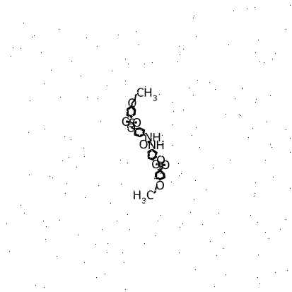 CCCOc1ccc(S(=O)(=O)Oc2ccc(NC(=O)Nc3cccc(OS(=O)(=O)c4ccc(OCCC)cc4)c3)cc2)cc1